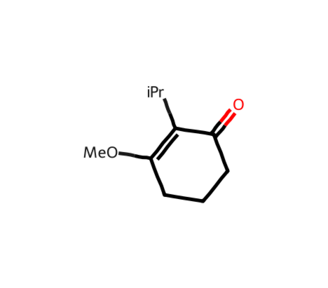 COC1=C(C(C)C)C(=O)CCC1